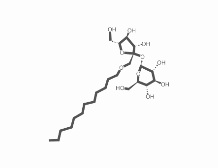 CCCCCCCCCCCCOC[C@@]1(O[C@H]2O[C@H](CO)[C@@H](O)[C@H](O)[C@H]2O)O[C@H](CO)[C@@H](O)[C@@H]1O